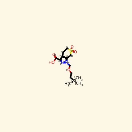 C[Si](C)(C)CCOCn1nc(C(=O)O)c2c1CS(=O)(=O)CC2